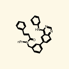 CCCN(Cc1cccc(-c2ccc3ncnc(Nc4ccccc4)c3c2)c1)C(=O)C=Cc1ccccc1